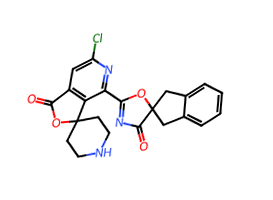 O=C1OC2(CCNCC2)c2c1cc(Cl)nc2C1=NC(=O)C2(Cc3ccccc3C2)O1